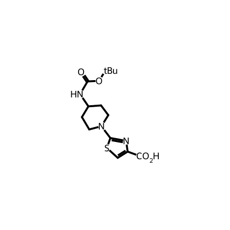 CC(C)(C)OC(=O)NC1CCN(c2nc(C(=O)O)cs2)CC1